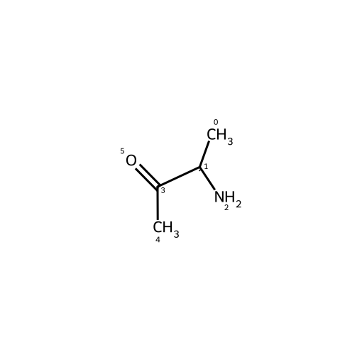 C[C](N)C(C)=O